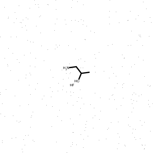 CC(O)CN.F